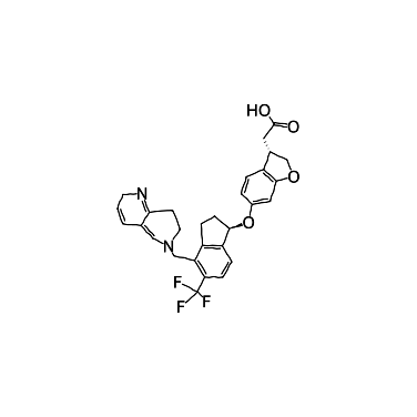 O=C(O)C[C@@H]1COc2cc(O[C@@H]3CCc4c3ccc(C(F)(F)F)c4CN3C=C4C=CCN=C4CC3)ccc21